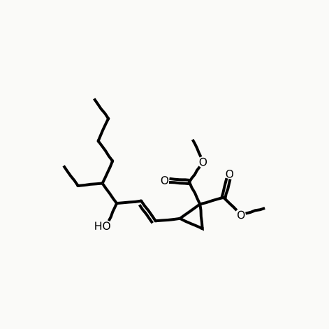 CCCCC(CC)C(O)C=CC1CC1(C(=O)OC)C(=O)OC